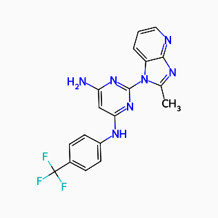 Cc1nc2ncccc2n1-c1nc(N)cc(Nc2ccc(C(F)(F)F)cc2)n1